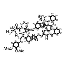 CCC(C)(C)C(=O)C(=O)N1CCCC[C@H]1C(=O)O[C@H](CCc1ccc(OC)c(OC)c1)c1cccc(NC(=O)CCC(=O)NC(Cc2ccccc2)C(=O)N[C@H](Cc2ccccc2)[C@@H](O)CN(CC(C)C)S(=O)(=O)c2ccc(OC)cc2)c1